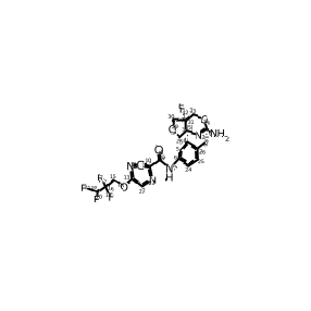 NC1=N[C@@]2(c3cc(NC(=O)c4cnc(OCC(F)(F)C(F)F)cn4)ccc3F)COC[C@@]2(F)CO1